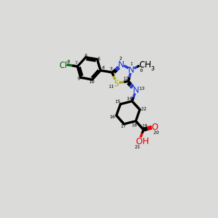 Cn1nc(-c2ccc(Cl)cc2)sc1=NC1CCCC(C(=O)O)C1